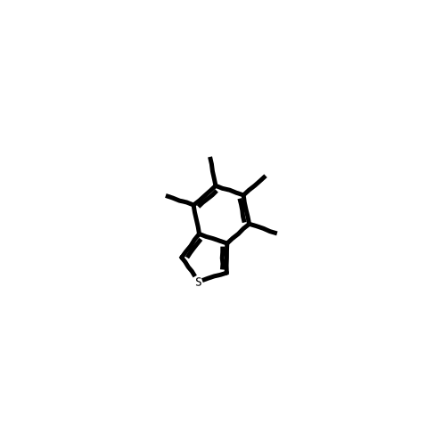 Cc1c(C)c(C)c2cscc2c1C